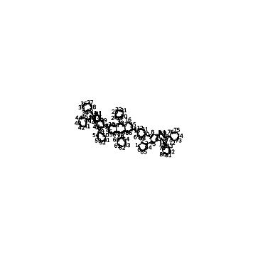 c1ccc(-c2cc3c(cc2-c2ccc(-c4ccc5c(-c6ccccc6)c6cc(-c7cc8nc(-c9ccccc9)n(-c9ccccc9)c8cc7-c7ccccc7)ccc6c(-c6ccccc6)c5c4)cc2)nc(-c2ccccc2)n3-c2ccccc2)cc1